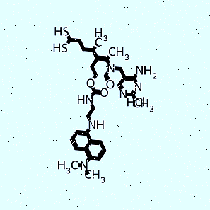 CC(=C(CCOC(=O)NCCNc1cccc2c(N(C)C)cccc12)C(C)CCC(S)S)N(C=O)Cc1cnc(C)nc1N.Cl